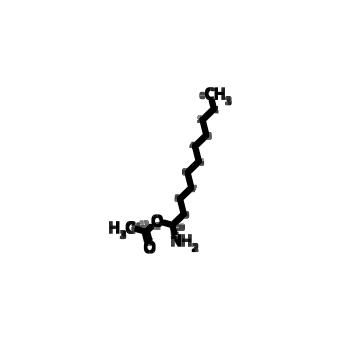 CCCCCCCCCCC(N)OC(C)=O